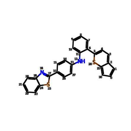 c1cc2ccc(-c3ccccc3Nc3ccc(-c4nc5ccccc5s4)cc3)sc-2c1